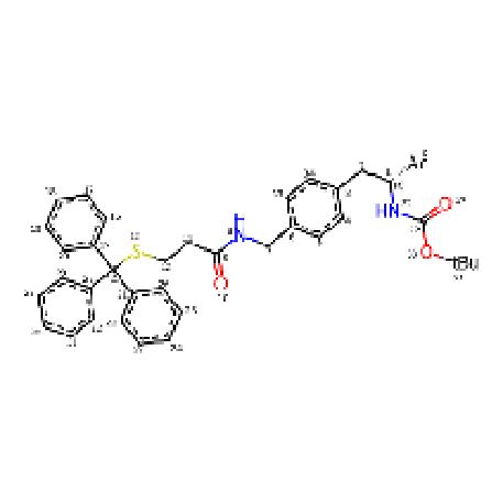 CC(=O)[C@@H](Cc1ccc(CNC(=O)CCSC(c2ccccc2)(c2ccccc2)c2ccccc2)cc1)NC(=O)OC(C)(C)C